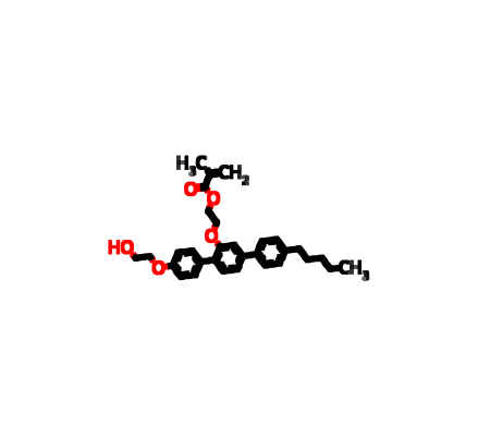 C=C(C)C(=O)OCCOc1cc(-c2ccc(CCCCC)cc2)ccc1-c1ccc(OCCO)cc1